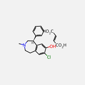 CN1CCc2cc(Cl)c(O)cc2[C@H](c2ccccc2)C1.O=C(O)C=CC(=O)O